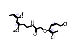 C/C=C(\C=C(/CCNC(=O)COC(/C=C\CCl)=C(/C)Cl)OC)OC